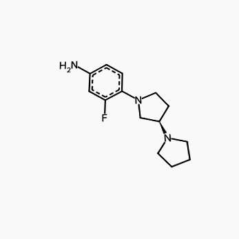 Nc1ccc(N2CC[C@@H](N3CCCC3)C2)c(F)c1